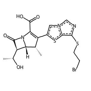 C[C@@H](O)[C@H]1C(=O)N2C(C(=O)O)=C(c3cn4cnc(SCCBr)c4s3)[C@H](C)[C@H]12